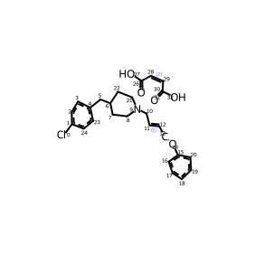 Clc1ccc(CC2CCN(C/C=C/COc3ccccc3)CC2)cc1.O=C(O)/C=C\C(=O)O